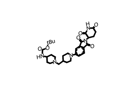 CC(C)(C)OC(=O)NC1CCN(CC2CCN(c3ccc4c(c3)C(=O)N(C3CCC(=O)NC3=O)C4=O)CC2)CC1